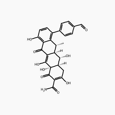 C[C@H]1c2c(-c3ccc(C=O)cc3)ccc(O)c2C(=O)C2=C(O)[C@]3(O)C(=O)C(C(N)=O)=C(O)C[C@@H]3[C@@H](O)[C@@H]21